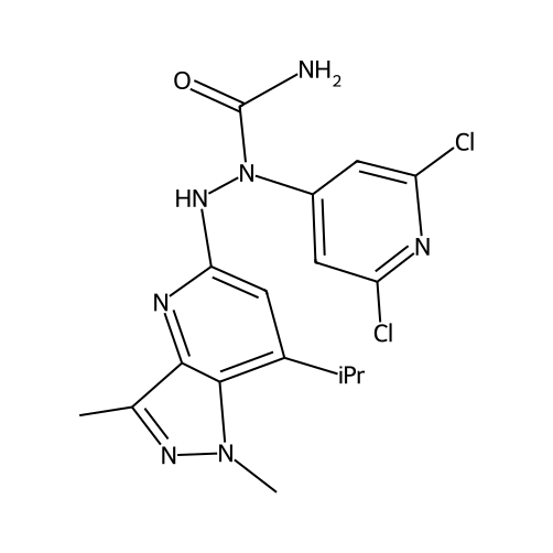 Cc1nn(C)c2c(C(C)C)cc(NN(C(N)=O)c3cc(Cl)nc(Cl)c3)nc12